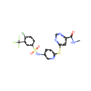 CNC(=O)c1cc(Sc2ccc(NS(=O)(=O)c3ccc(Cl)c(C(F)(F)F)c3)cn2)ncn1